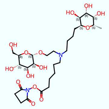 C[C@@H]1O[C@@H](CCCCN(CCCCCC(=O)ON2C(=O)CCC2=O)CCO[C@H]2O[C@H](CO)[C@@H](O)[C@H](O)[C@@H]2O)[C@@H](O)[C@H](O)[C@@H]1O